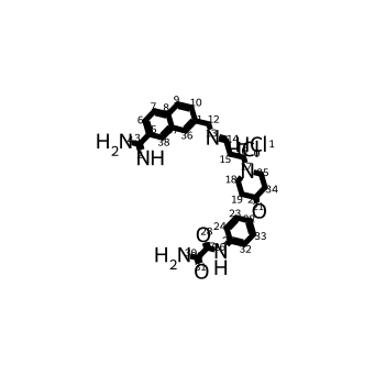 Cl.Cl.N=C(N)c1ccc2ccc(CN=CCCN3CCC(Oc4ccc(NC(=O)C(N)=O)cc4)CC3)cc2c1